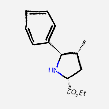 CCOC(=O)[C@H]1C[C@@H](C)[C@@H](c2ccccc2)N1